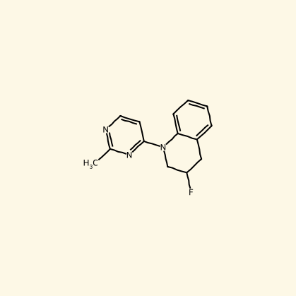 Cc1nccc(N2CC(F)Cc3ccccc32)n1